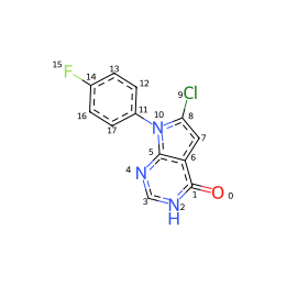 O=c1[nH]cnc2c1cc(Cl)n2-c1ccc(F)cc1